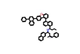 CCCC(/N=C(\C/C(C)=C\c1ccccc1)c1ccc2ccccc2c1)c1cccc2c(-c3cccc4oc5cc(-c6ccc(-c7ccccc7)c7ccccc67)ccc5c34)cccc12